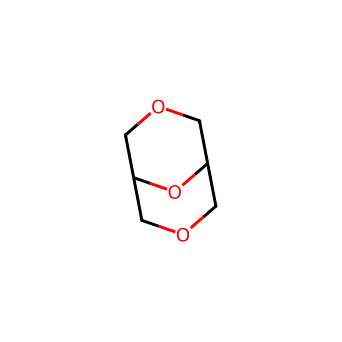 C1OCC2COCC1O2